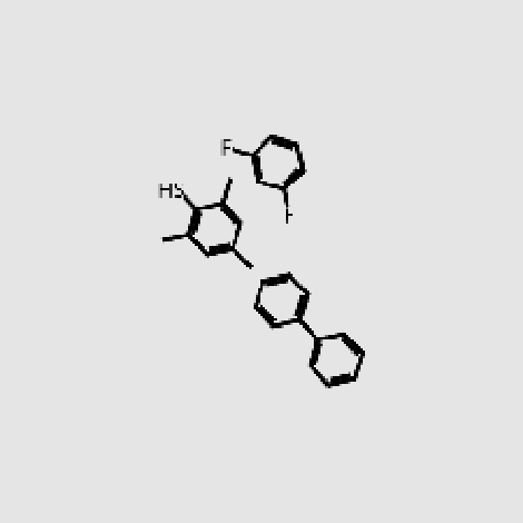 Cc1cc(C)c(S)c(C)c1.Fc1cccc(F)c1.c1ccc(-c2ccccc2)cc1